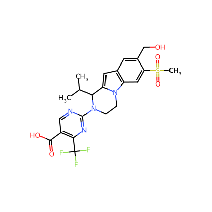 CC(C)C1c2cc3cc(CO)c(S(C)(=O)=O)cc3n2CCN1c1ncc(C(=O)O)c(C(F)(F)F)n1